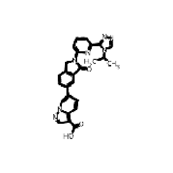 CC(C)n1cnnc1-c1cccc(N2Cc3ccc(-c4ccc5c(C(=O)O)cnn5c4)cc3C2=O)n1